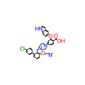 CN(C)CCOc1cccc(-c2ccc(Cl)cc2)c1CN1CCN(c2ccc(C(=O)O)c(Oc3ccc4[nH]ccc4c3)c2)CC1